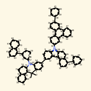 CC1(C)c2ccc(-c3ccc4c(c3)c3c5cccc(-c6ccccc6)c5ccc3n4-c3ccc4c5ccc(-c6ccccc6)cc5c5ccccc5c4c3)cc2N(c2cccc(-c3cccc4ccccc34)c2)c2ccc3ccccc3c21